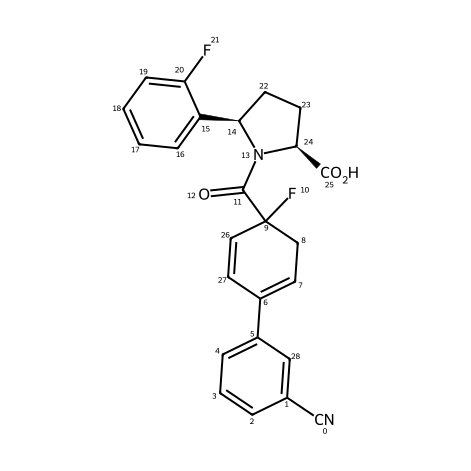 N#Cc1cccc(C2=CCC(F)(C(=O)N3[C@@H](c4ccccc4F)CC[C@H]3C(=O)O)C=C2)c1